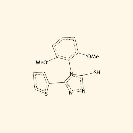 COc1cccc(OC)c1-n1c(S)nnc1-c1cccs1